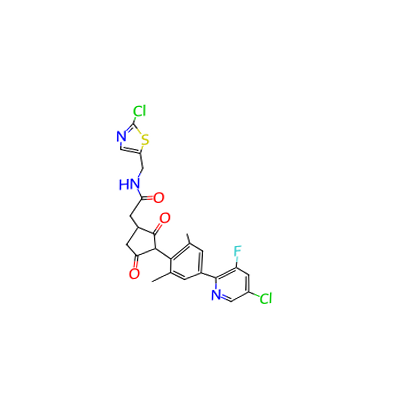 Cc1cc(-c2ncc(Cl)cc2F)cc(C)c1C1C(=O)CC(CC(=O)NCc2cnc(Cl)s2)C1=O